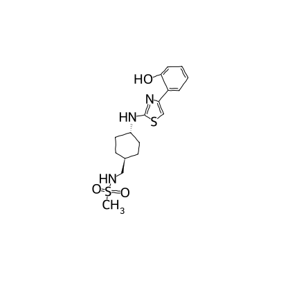 CS(=O)(=O)NC[C@H]1CC[C@H](Nc2nc(-c3ccccc3O)cs2)CC1